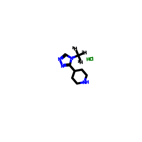 Cl.[2H]C([2H])([2H])n1cnnc1C1CCNCC1